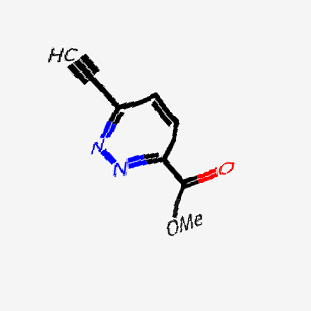 C#Cc1ccc(C(=O)OC)nn1